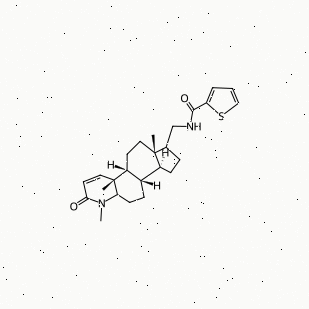 CN1C(=O)C=C[C@@]2(C)C1CC[C@@H]1[C@H]2CC[C@]2(C)C(CNC(=O)c3cccs3)CC[C@@H]12